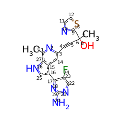 Cc1nc(C#CC(C)(O)c2nccs2)cc2c(-c3nc(N)ncc3F)c[nH]c12